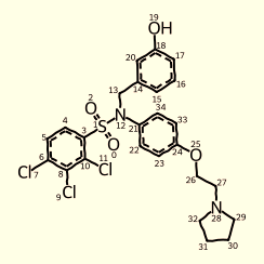 O=S(=O)(c1ccc(Cl)c(Cl)c1Cl)N(Cc1cccc(O)c1)c1ccc(OCCN2CCCC2)cc1